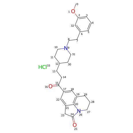 COc1cccc(CCN2CCC(CCC(=O)c3cc4c5c(c3)CC(=O)N5CCC4)CC2)c1.Cl